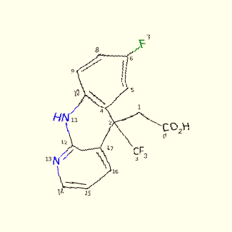 O=C(O)CC1(C(F)(F)F)c2cc(F)ccc2Nc2ncccc21